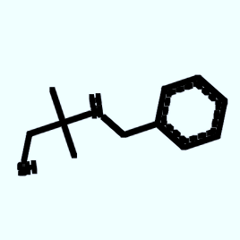 CC(C)(CS)NCc1ccccc1